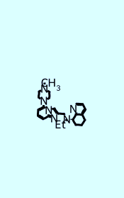 CCN(Cc1cn2c(N3CCN(C)CC3)cccc2n1)[C@H]1CCCc2cccnc21